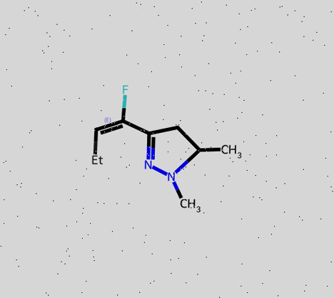 CC/C=C(/F)C1=NN(C)C(C)C1